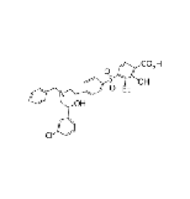 CCc1c(S(=O)(=O)c2ccc(CCN(Cc3ccccc3)CC(O)c3cccc(Cl)c3)cc2)ccc(C(=O)O)c1O